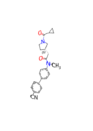 CN(C(=O)C[C@@H]1CCN(C(=O)C2CC2)C1)c1ccc(-c2ccc(C#N)cc2)cc1